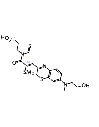 CS/C(=C\C1=Nc2ccc(N(C)CCO)cc2SC1)C(=O)N(C=S)CCC(=O)O